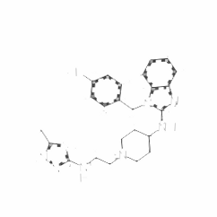 Cc1nnc(NCCN2CCC(Nc3nc4ccccc4n3Cc3ccc(F)cc3)CC2)s1